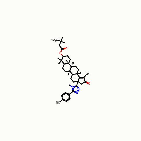 CC(C)C1=C2[C@H]3CC[C@@H]4[C@@]5(C)CC[C@H](OC(=O)CC(C)(C)C(=O)O)C(C)(C)C5CC[C@@]4(C)[C@]3(C)CC[C@@]2(c2nnc(-c3ccc(C#N)cc3)n2C)CC1=O